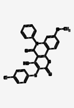 COc1ccc2c3oc(=O)c(Sc4ccc(Cl)cc4)c(O)c3c(=O)n(-c3ccccc3)c2c1